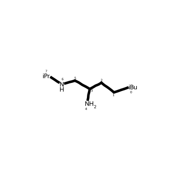 CCC(C)CCC(N)CNC(C)C